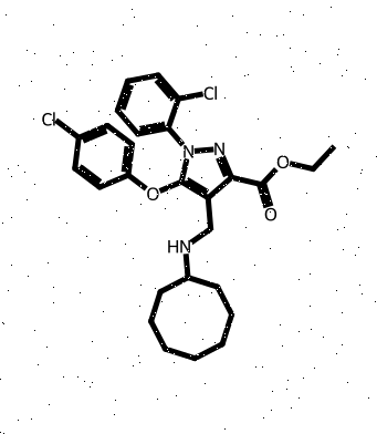 CCOC(=O)c1nn(-c2ccccc2Cl)c(Oc2ccc(Cl)cc2)c1CNC1CCCCCCC1